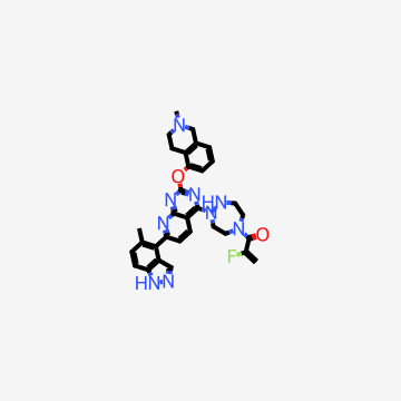 C=C(F)C(=O)N1CCNN(c2nc(Oc3cccc4c3CCN(C)C4)nc3nc(-c4c(C)ccc5[nH]ncc45)ccc23)CC1